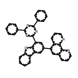 c1ccc(-c2nc(-c3ccccc3)nc(-c3cc(-c4cc5cccnc5c5ncccc45)cc4c3oc3ccccc34)n2)cc1